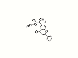 CCCOC(=O)C(C)c1ccc2oc(-c3cccs3)cc(=O)c2c1